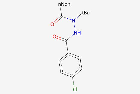 CCCCCCCCCC(=O)N(NC(=O)c1ccc(Cl)cc1)C(C)(C)C